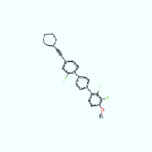 CCOc1ccc(-c2ccc(-c3ccc(C#CC4CCCCC4)cc3F)cc2)c(F)c1F